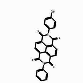 O=C1c2ccc3c4c(ccc(c24)C(=O)N1c1ccccc1)C(=O)N(c1ccc(O)cc1)C3=O